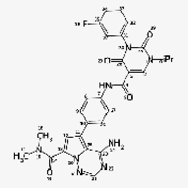 CC(C)n1cc(C(=O)Nc2ccc(-c3cc(C(=O)N(C)C)n4ncnc(N)c34)cc2)c(=O)n(-c2cccc(F)c2)c1=O